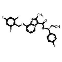 Cc1nc2c(OCc3c(F)cc(F)cc3F)cccn2c1C(=O)N[C@@H](CO)c1ccc(F)cc1